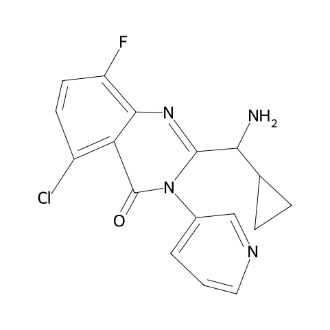 NC(c1nc2c(F)ccc(Cl)c2c(=O)n1-c1cccnc1)C1CC1